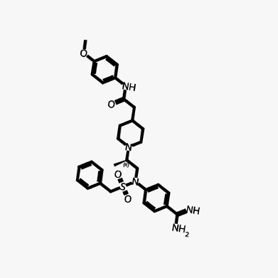 COc1ccc(NC(=O)CC2CCN([C@H](C)CN(c3ccc(C(=N)N)cc3)S(=O)(=O)Cc3ccccc3)CC2)cc1